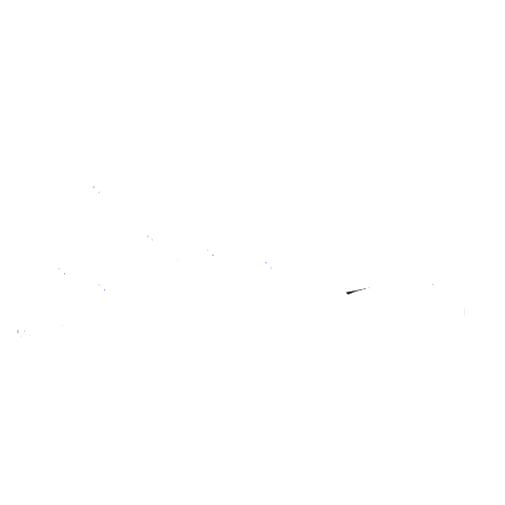 COC(=O)c1ncc2c(n1)N(C(=O)Nc1cccc(OC[C@H]3COC(C)(C)O3)n1)C1CCCN2C1